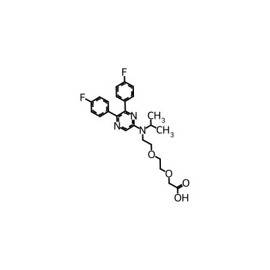 CC(C)N(CCOCCOCC(=O)O)c1cnc(-c2ccc(F)cc2)c(-c2ccc(F)cc2)n1